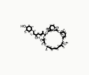 CO[C@H]1C[C@@H]2CC[C@@H](C)[C@](O)(CC(=O)N3CCCC[C@H]3C(=O)O[C@H](/C(C)=C/CC(O)[C@H](C)C[C@@H]3CC[C@@H](O)[C@H](C)C3)CC(=O)[C@H](C)C[C@H](C)/C=C/C=C/C=C/1C)O2